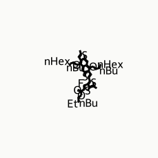 CCCCCCC(CCCC)COc1c2cc(C)sc2cc2c(OCC(CCCC)CCCCCC)c3cc(-c4sc(C)c5sc(C(=O)OCC(CC)CCCC)c(F)c45)sc3cc12